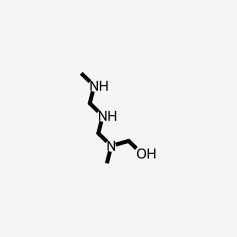 CNCNCN(C)CO